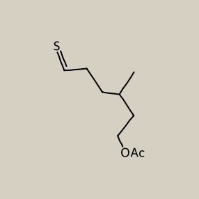 CC(=O)OCCC(C)CCC=S